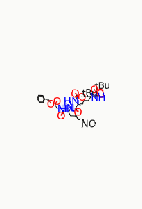 CC(C)(C)OC(=O)NCCCCC(NC(=O)OC(C)(C)C)C(=O)NC(CCCCN=O)C(=O)NCC(=O)OCc1ccccc1